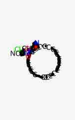 Cc1c(N2C(=O)N(CCc3ccncc3)C3(CCCCCCCCCCCCCCCCCCCCCCCCCCCCCCCCCCCCCCCCC3)C2=O)ccc(C#N)c1Cl